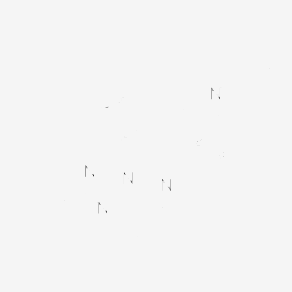 c1ccc(-c2nc(-c3ccccc3)nc(-c3ccccc3-n3c4ccccc4c4c(-c5c(-c6ccccc6)ccc6c5c5ccccc5n6-c5ccccc5)cccc43)n2)cc1